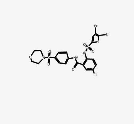 O=C(Nc1ccc(S(=O)(=O)N2CCOCC2)cc1)c1cc(Cl)ccc1NS(=O)(=O)c1cc(Br)c(Br)s1